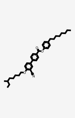 CCCCCCCCc1ccc(OC(=O)c2ccc(-c3ccc(OCCCCCC(C)CC)c(C#N)c3)cc2)cc1